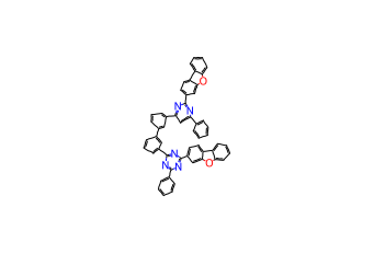 c1ccc(-c2cc(-c3cccc(-c4cccc(-c5nc(-c6ccccc6)nc(-c6ccc7c(c6)oc6ccccc67)n5)c4)c3)nc(-c3ccc4c(c3)oc3ccccc34)n2)cc1